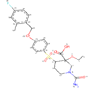 CCOC1(C(=O)O)CN(C(N)=O)CCC1S(=O)(=O)c1ccc(OCc2ccc(F)cc2C)cc1